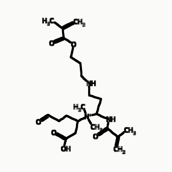 C=C(C)C(=O)NC(CCNCCCOC(=O)C(=C)C)[N+](C)(C)C(CCC=O)CC(=O)O